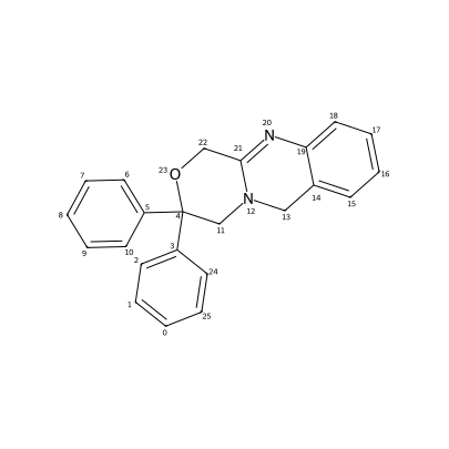 c1ccc(C2(c3ccccc3)CN3Cc4ccccc4N=C3CO2)cc1